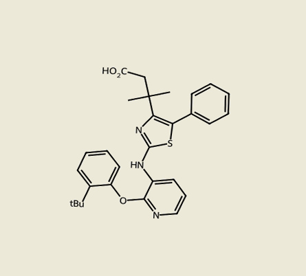 CC(C)(C)c1ccccc1Oc1ncccc1Nc1nc(C(C)(C)CC(=O)O)c(-c2ccccc2)s1